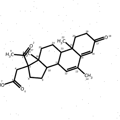 CC(=O)C1(CC(=O)O)CCC2C3C=C(C)C4=CC(=O)CCC4(C)C3CCC21C